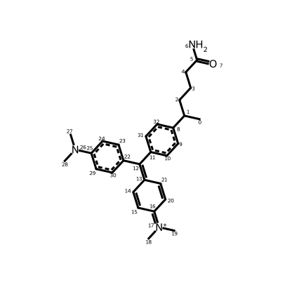 CC(CCCC(N)=O)c1ccc(C(=C2C=CC(=[N+](C)C)C=C2)c2ccc(N(C)C)cc2)cc1